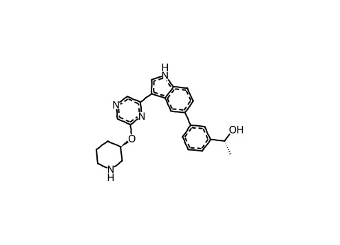 C[C@@H](O)c1cccc(-c2ccc3[nH]cc(-c4cncc(O[C@@H]5CCCNC5)n4)c3c2)c1